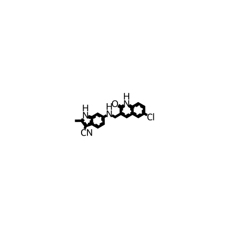 Cc1[nH]c2cc(NCc3cc4cc(Cl)ccc4[nH]c3=O)ccc2c1C#N